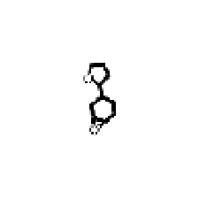 C1COC(C2CCC3OC3C2)C1